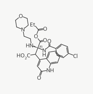 CCC(=O)OC(=O)[C@](NCCN1CCOCC1)(NC(=O)c1ccc(Cl)cc1)C(C(=O)O)c1cc(=O)[nH]c2ccccc12